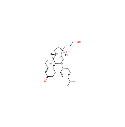 C=C(C)c1ccc([C@H]2C[C@@]3(CC)[C@@H](CC[C@@]3(O)CCCO)[C@@H]3CCC4=CC(=O)CCC4=C32)cc1